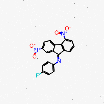 O=[N+]([O-])c1ccc2c(c1)C(=Nc1ccc(F)cc1)c1cccc([N+](=O)[O-])c1-2